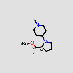 CCC(C)O[C@@H](C)[C@@H]1CCCN1C1CCN(C)CC1